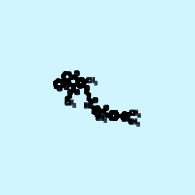 C=CCOC(=O)N1c2cc(OCCCC(=O)Nc3cc(C(=O)Nc4ccc(-c5cc(C)n(C)c5)cc4)n(C)c3)c(C)cc2C(=O)N2CCCC[C@H]2[C@@H]1OC1CCCCO1